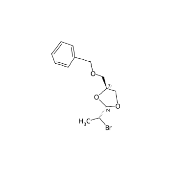 CC(Br)[C@H]1OC[C@H](COCc2ccccc2)O1